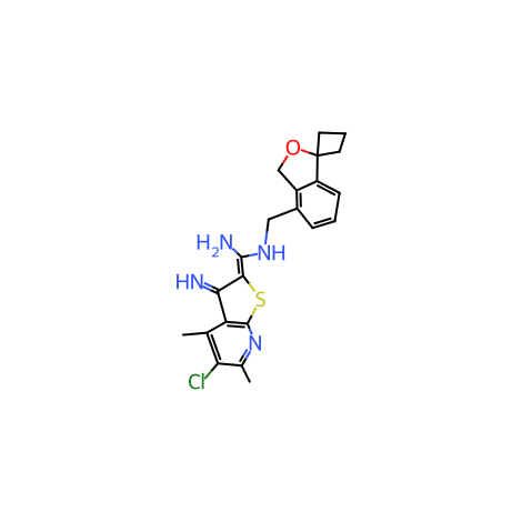 Cc1nc2c(c(C)c1Cl)C(=N)/C(=C(\N)NCc1cccc3c1COC31CCC1)S2